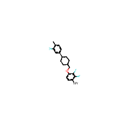 CCCc1ccc(OCC2CCC(c3ccc(C)c(F)c3)CC2)c(F)c1F